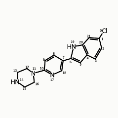 Clc1ccc2cc(-c3ccc(N4CCNCC4)nc3)[nH]c2c1